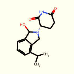 CC(C)c1cccc2c1CN([C@H]1CCC(=O)NC1=O)C2O